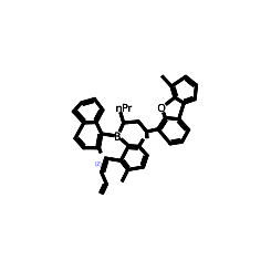 C=C/C=C\c1c(C)ccc(C)c1B(c1c(C)ccc2ccccc12)C(CCC)CC(C)c1cccc2c1oc1c(C)cccc12